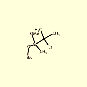 CCC(C)O[Si](C)(OC)C(C)(C)CC